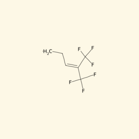 [CH2]CC=C(C(F)(F)F)C(F)(F)F